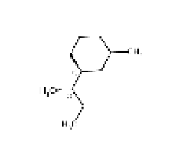 CC[C@H](C)[C@H]1CCCC(C)C1